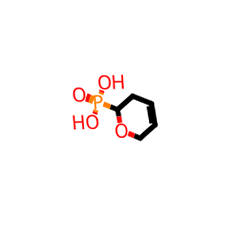 O=P(O)(O)C1CC=CCO1